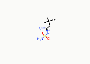 CCC(C)(C)C/C(N)=N/S(N)(=O)=O